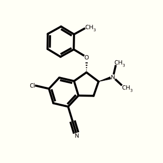 Cc1ccccc1O[C@H]1c2cc(Cl)cc(C#N)c2C[C@@H]1N(C)C